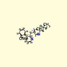 C/C=C(\C=N/CCC(C)(F)F)Cc1ncccc1-c1ccccc1OC